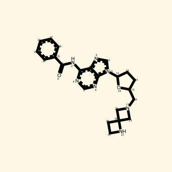 O=C(Nc1ncnc2c1ncn2C1CCC(CN2CC3(CCN3)C2)O1)c1ccccc1